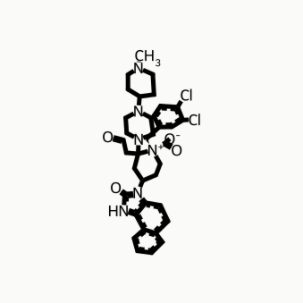 CN1CCC(N2CCN(C3(CC=O)CC(n4c(=O)[nH]c5c6ccccc6ccc54)CC[N@+]3(Cc3ccc(Cl)c(Cl)c3)C(=O)[O-])CC2)CC1